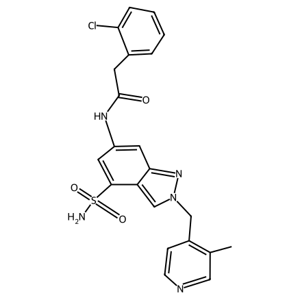 Cc1cnccc1Cn1cc2c(S(N)(=O)=O)cc(NC(=O)Cc3ccccc3Cl)cc2n1